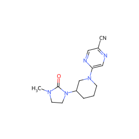 CN1CCN(C2CCCN(c3cnc(C#N)cn3)C2)C1=O